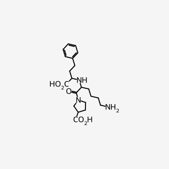 NCCCCC(NC(CCc1ccccc1)C(=O)O)C(=O)N1CCC(C(=O)O)C1